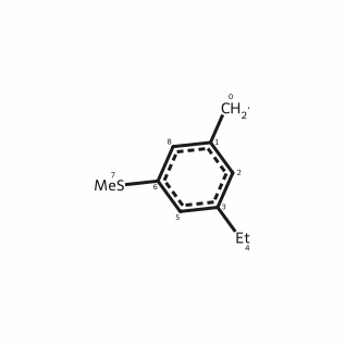 [CH2]c1cc(CC)cc(SC)c1